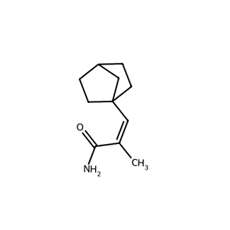 CC(=CC12CCC(CC1)C2)C(N)=O